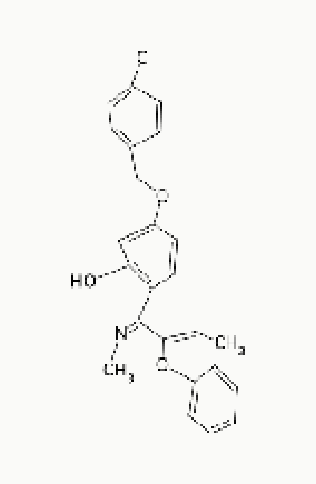 C/C=C(Oc1ccccc1)/C(=N\C)c1ccc(OCc2ccc(Cl)cc2)cc1O